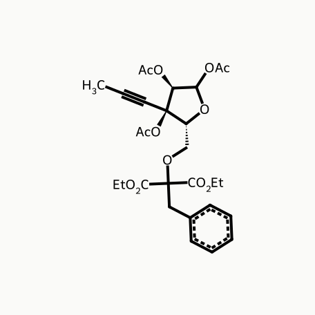 CC#C[C@@]1(OC(C)=O)[C@@H](COC(Cc2ccccc2)(C(=O)OCC)C(=O)OCC)OC(OC(C)=O)[C@@H]1OC(C)=O